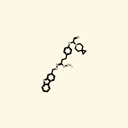 COC(CCc1ccc(OC(C=O)N2CCC3(CC2)CC3)cc1)=NOCc1ccc2c(c1)sc1ccccc12